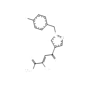 COC(=O)C(O)=CC(=O)c1cnn(Cc2ccc(F)cc2)c1